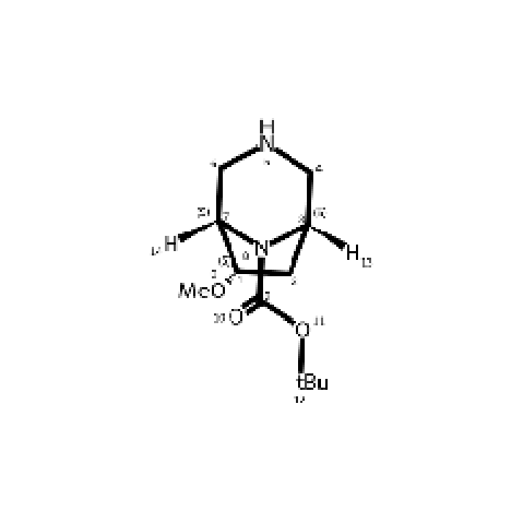 CO[C@H]1C[C@H]2CNC[C@@H]1N2C(=O)OC(C)(C)C